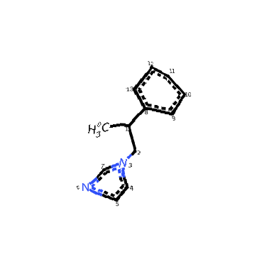 CC(Cn1ccnc1)c1ccccc1